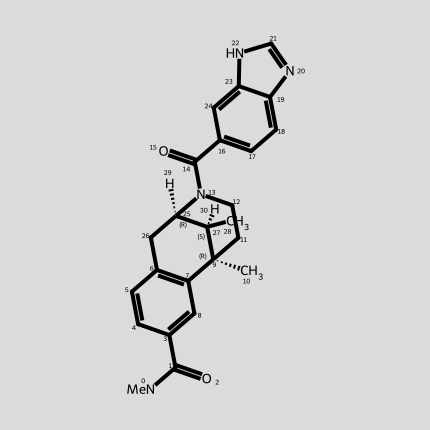 CNC(=O)c1ccc2c(c1)[C@]1(C)CCN(C(=O)c3ccc4nc[nH]c4c3)[C@H](C2)[C@H]1C